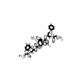 C=CC(=O)OCC(COc1ccccc1)OC(=O)N1CC2(C)CC(NC(=O)OC(COC(=O)C=C)Oc3ccccc3)CC1(C)C2